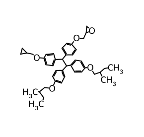 CCC(C)COc1ccc(C(c2ccc(OCC(C)CC)cc2)C(c2ccc(OCC3CC3)cc2)c2ccc(OCC3CO3)cc2)cc1